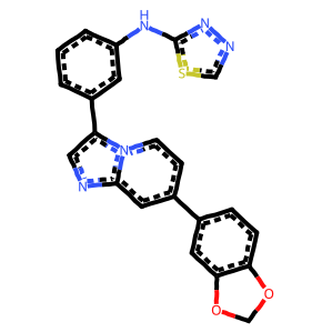 c1cc(Nc2nncs2)cc(-c2cnc3cc(-c4ccc5c(c4)OCO5)ccn23)c1